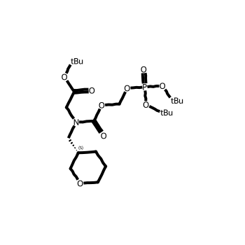 CC(C)(C)OC(=O)CN(C[C@@H]1CCCOC1)C(=O)OCOP(=O)(OC(C)(C)C)OC(C)(C)C